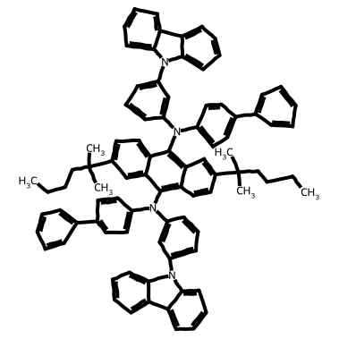 CCCCC(C)(C)c1ccc2c(N(c3ccc(-c4ccccc4)cc3)c3cccc(-n4c5ccccc5c5ccccc54)c3)c3cc(C(C)(C)CCCC)ccc3c(N(c3ccc(-c4ccccc4)cc3)c3cccc(-n4c5ccccc5c5ccccc54)c3)c2c1